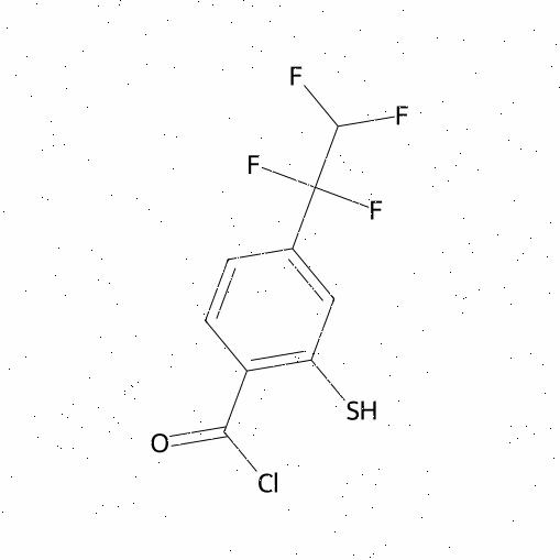 O=C(Cl)c1ccc(C(F)(F)C(F)F)cc1S